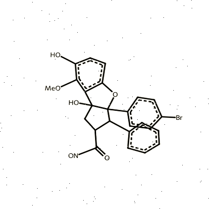 COc1c(O)ccc2c1C1(O)CC(C(=O)N=O)C(c3ccccc3)C1(c1ccc(Br)cc1)O2